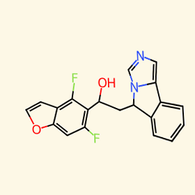 OC(CC1c2ccccc2-c2cncn21)c1c(F)cc2occc2c1F